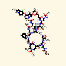 Cc1cc2c(F)c(Oc3ncnn4cc(OC[C@@H](C)OC(=O)CCC(=O)N[C@@H](CCNC(=O)OC(C)(C)C)C(=O)N[C@H](C(=O)N[C@@H](CCNC(=O)OC(C)(C)C)C(=O)N[C@@H]5CCNC(=O)[C@@H]([C@H](C)O)NC(=O)[C@H](CCNC(=O)OC(C)(C)C)NC(=O)[C@@H]6CCN(C(=O)OC(C)(C)C)C(C)C[C@H](NC(=O)[C@H](Cc7ccccc7)NC(=O)[C@H](CCNC(=O)OC(C)(C)C)NC5=O)C(=O)N6)[C@H](C)O)c(C)c34)ccc2[nH]1